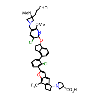 CNC1(CCC=O)CN(Cc2cc(Cl)c(O[C@H]3CCc4c(-c5cccc(-c6cc7cc8c(c(C(F)(F)F)c7o6)CC[C@H]8N6CC[C@@H](C(=O)O)C6)c5Cl)cccc43)nc2OC)C1